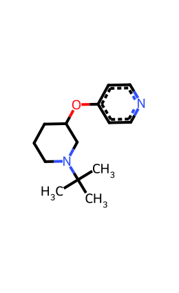 CC(C)(C)N1CCCC(Oc2ccncc2)C1